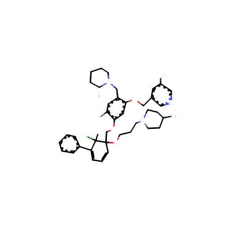 CC(=O)NC1CCN(CCCOC2(COc3cc(OCc4cncc(C#N)c4)c(CN4CCCC[C@H]4C(=O)O)cc3Cl)C=CC=C(c3ccccc3)C2(C)Cl)CC1